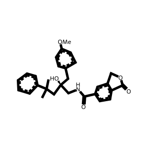 COc1ccc(C[C@](O)(CNC(=O)c2ccc3c(c2)COC3=O)CC(C)(C)c2ccccc2)cc1